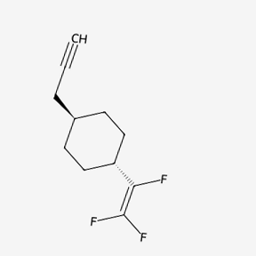 C#CC[C@H]1CC[C@H](C(F)=C(F)F)CC1